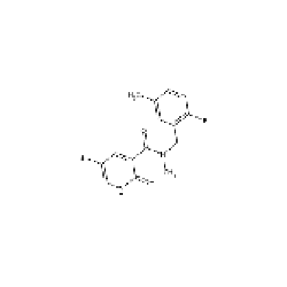 Cc1ccc(F)c(CN(C)C(=O)c2cc(Br)c[nH]c2=O)c1